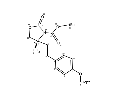 CCCCCCCOc1ccc(CC[C@]2(C)COS(=O)N2C(=O)OC(C)(C)C)cc1